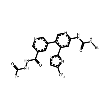 CCNC(=O)Nc1cc(-c2nc(C(F)(F)F)cs2)c(-c2cncc(C(=O)NNC(=O)C(C)C)c2)cn1